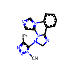 CC(C)c1nnn(C#N)c1N1CN=C2c3ccccc3-n3cncc3N21